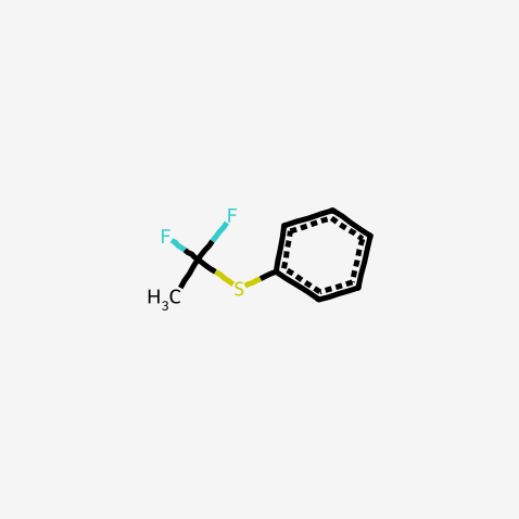 CC(F)(F)Sc1ccccc1